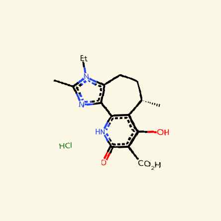 CCn1c(C)nc2c1CC[C@H](C)c1c-2[nH]c(=O)c(C(=O)O)c1O.Cl